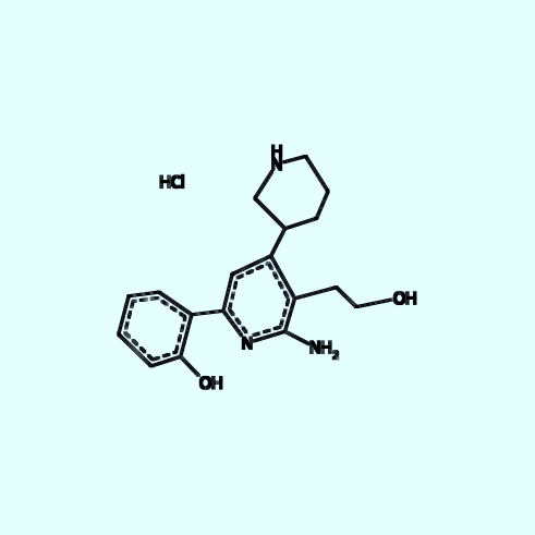 Cl.Nc1nc(-c2ccccc2O)cc(C2CCCNC2)c1CCO